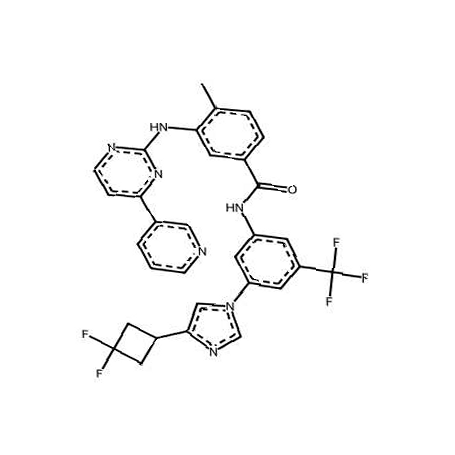 Cc1ccc(C(=O)Nc2cc(-n3cnc(C4CC(F)(F)C4)c3)cc(C(F)(F)F)c2)cc1Nc1nccc(-c2cccnc2)n1